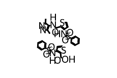 Cc1nn(C)c(C)c1NC(=O)c1sccc1NS(=O)(=O)c1ccccc1.O=C(O)c1sccc1NS(=O)(=O)c1ccccc1